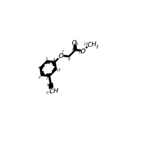 C#Cc1cccc(OCC(=O)OC)c1